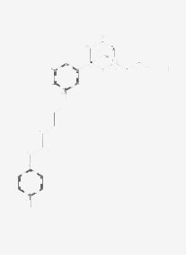 O=C(O)CCN1CC2(c3cccc(OCCCCCc4ccc(C(F)(F)F)cc4)c3)CCC1CC2